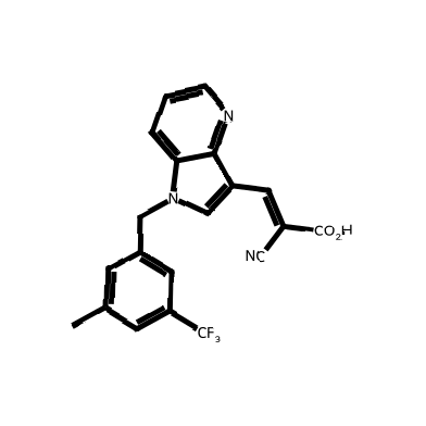 Cc1cc(Cn2cc(/C=C(\C#N)C(=O)O)c3ncccc32)cc(C(F)(F)F)c1